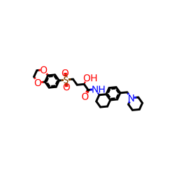 O=C(N[C@@H]1CCCc2cc(CN3CCCCC3)ccc21)[C@H](O)CCS(=O)(=O)c1ccc2c(c1)OCCO2